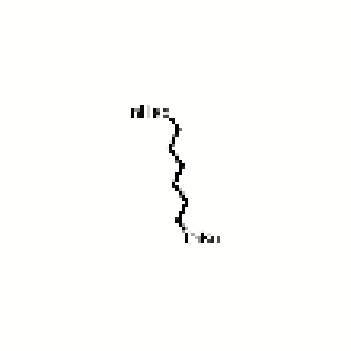 CCCCCCCCCCCCOCC(C)C